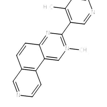 Cc1ccncc1-c1nc2ccc3cnccc3c2c[n+]1C